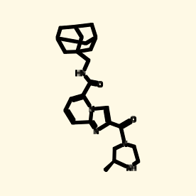 C[C@H]1CN(C(=O)c2cn3c(C(=O)NCC45CC6CC(CC(C6)C4)C5)cccc3n2)CCN1